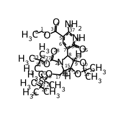 CCOC(=O)c1cc(C2[C@@H]3OC(C)(C)O[C@@H]3[C@@H](CO[Si](C)(C)C(C)(C)C)N2C(=O)OC(C)(C)C)c(=O)[nH]c1N